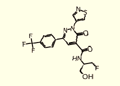 O=C(N[C@H](CO)CF)c1cc(-c2ccc(C(F)(F)F)cc2)nn(-c2cnsc2)c1=O